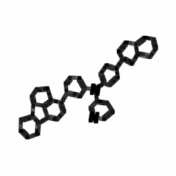 c1cncc(N(c2ccc(-c3ccc4ccccc4c3)cc2)c2cccc(-c3ccc4c5c(cccc35)-c3ccccc3-4)c2)c1